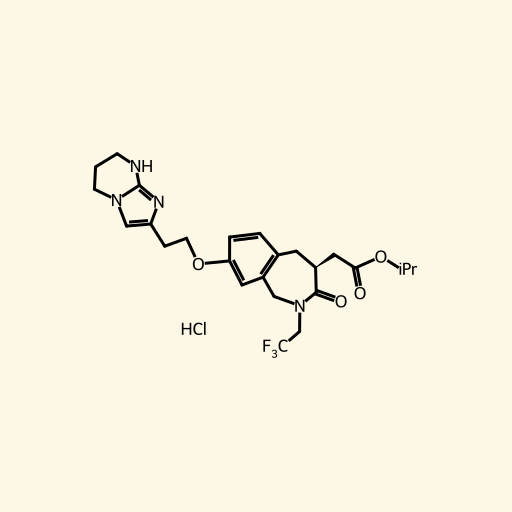 CC(C)OC(=O)C[C@@H]1Cc2ccc(OCCc3cn4c(n3)NCCC4)cc2CN(CC(F)(F)F)C1=O.Cl